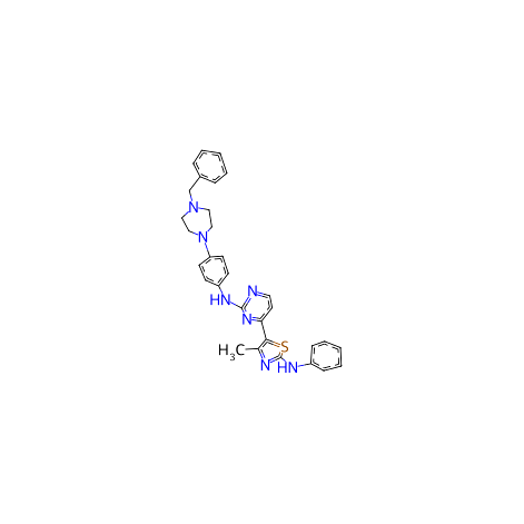 Cc1nc(Nc2ccccc2)sc1-c1ccnc(Nc2ccc(N3CCN(Cc4ccccc4)CC3)cc2)n1